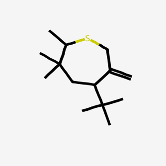 C=C1CSC(C)C(C)(C)CC1C(C)(C)C